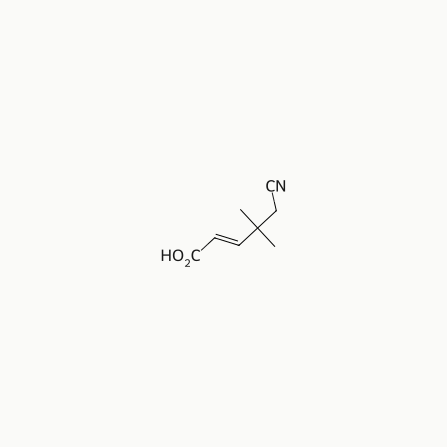 CC(C)(C=CC(=O)O)CC#N